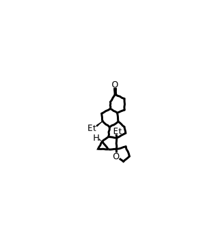 CC[C@H]1CC2CC(=O)CCC2C2CCC3(CC)C(C21)[C@@H]1CC1C31CCCO1